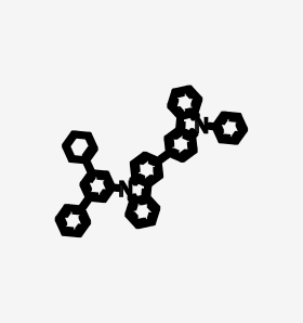 C1=C(c2cc(-c3ccccc3)cc(-n3c4ccccc4c4cc(-c5ccc6c(c5)c5ccccc5n6-c5ccccc5)ccc43)c2)CCCC1